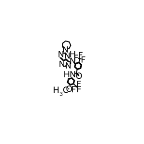 COc1ccc(NC(=O)c2ccc(C(F)(F)F)c(Nc3ncnc4cnc(N5CCCCCC5)nc34)c2)cc1C(F)(F)F